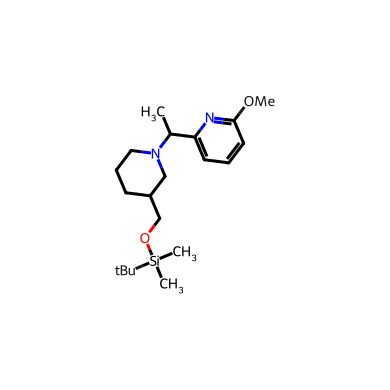 COc1cccc(C(C)N2CCCC(CO[Si](C)(C)C(C)(C)C)C2)n1